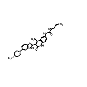 C=CCNC(=O)Nc1ccc2[nH]c(=O)c(-c3nc4ccc(N5CCN(C)CC5)cc4[nH]3)c(N)c2c1